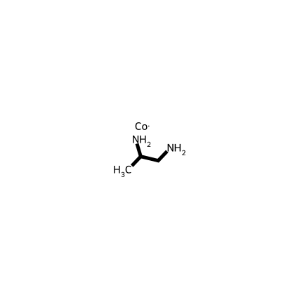 CC(N)CN.[Co]